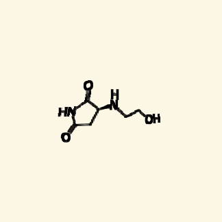 O=C1C[C@H](NCCO)C(=O)N1